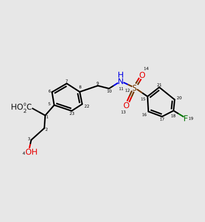 O=C(O)C(CCO)c1ccc(CCNS(=O)(=O)c2ccc(F)cc2)cc1